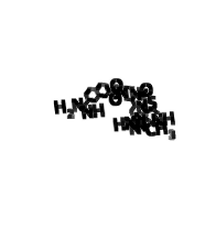 CC1Cc2nc(C(=O)N3CCN(S(=O)(=O)c4ccc5ccc(C(=N)N)cc5c4)CC3CCc3nnn[nH]3)sc2CN1